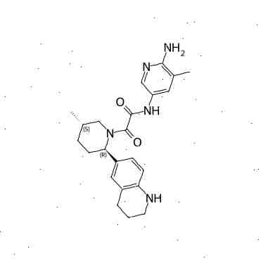 Cc1cc(NC(=O)C(=O)N2C[C@@H](C)CC[C@@H]2c2ccc3c(c2)CCCN3)cnc1N